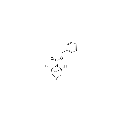 O=C(OCc1ccccc1)N1[C@@H]2CSC[C@H]1C2